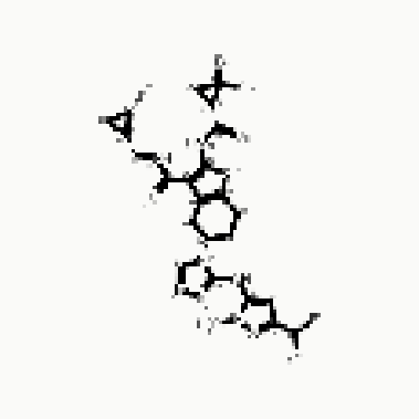 Cn1nc(C(F)F)cc1Nc1nncn1[C@H]1CCc2sc(NC(=O)[C@@H]3CC3(F)F)c(C(=O)NC[C@@H]3C[C@@H]3F)c2C1